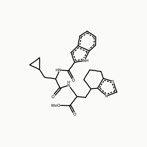 COC(=O)C(CC1CCCc2scnc21)NC(=O)C(CC1CC1)NC(=O)c1cc2ccccc2[nH]1